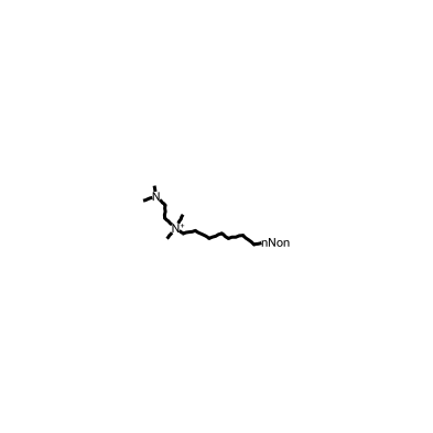 CCCCCCCCCCCCCCCC[N+](C)(C)CCN(C)C